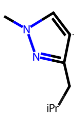 CC(C)Cc1[c]cn(C)n1